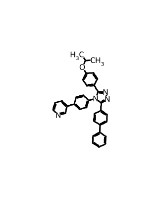 CC(C)Oc1ccc(-c2nnc(-c3ccc(-c4ccccc4)cc3)n2-c2ccc(-c3cccnc3)cc2)cc1